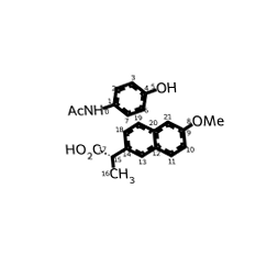 CC(=O)Nc1ccc(O)cc1.COc1ccc2cc([C@H](C)C(=O)O)ccc2c1